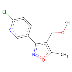 [2H]OCc1c(-c2ccc(Cl)nc2)noc1C